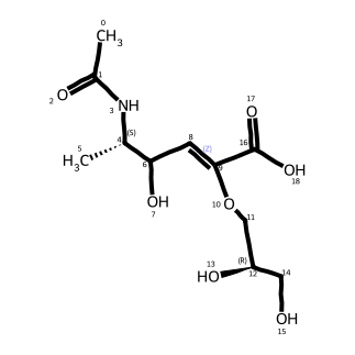 CC(=O)N[C@@H](C)C(O)/C=C(\OC[C@H](O)CO)C(=O)O